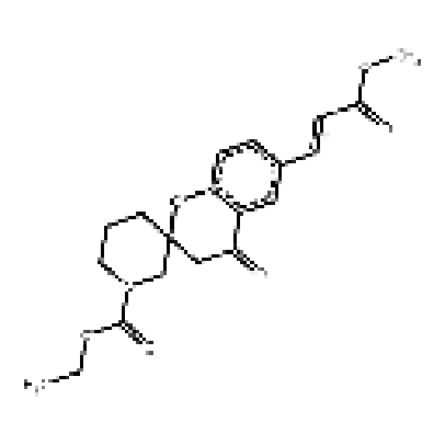 CCOC(=O)N1CCCC2(CC(=O)c3cc(/C=C/C(=O)OC)ccc3O2)C1